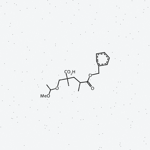 COC(C)OCC(C)(CC(C)C(=O)OCc1ccccc1)C(=O)O